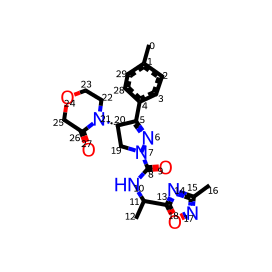 Cc1ccc(C2=NN(C(=O)NC(C)c3nc(C)no3)C[C@@H]2N2CCOCC2=O)cc1